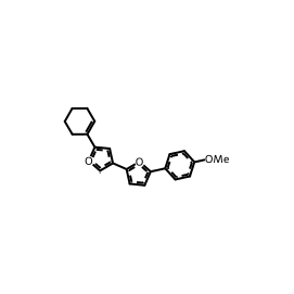 COc1ccc(-c2ccc(-c3[c]oc(C4=CCCCC4)c3)o2)cc1